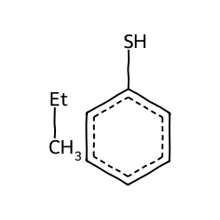 CCC.Sc1ccccc1